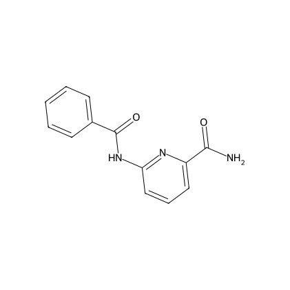 NC(=O)c1cccc(NC(=O)c2ccccc2)n1